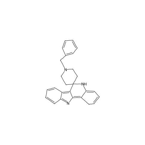 C1=CCC2=C3N=c4ccccc4=C3C3(CCN(Cc4ccccc4)CC3)NC2=C1